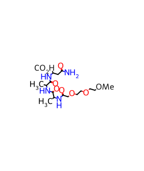 COCCOCCOCC(=O)NC(C)C(=O)NC(C)C(=O)NC(CC(N)=O)C(=O)O